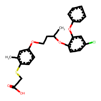 Cc1cc(OCCC(C)Oc2ccc(Cl)cc2Oc2ccccc2)ccc1SCC(=O)O